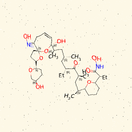 CCC(C(=O)NO)C1CCCC([C@@H](C)C[C@H](C)C(=O)[C@H](CC)C[C@@H](C)C[C@@H](C)[C@]2(O)C=CC/C(=N\O)[C@]3(CCC([C@H]4CC[C@@H](O)CO4)O3)O2)O1